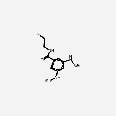 CC(C)CCNC(=O)c1cc(NC(C)(C)C)cc(NC(C)(C)C)c1